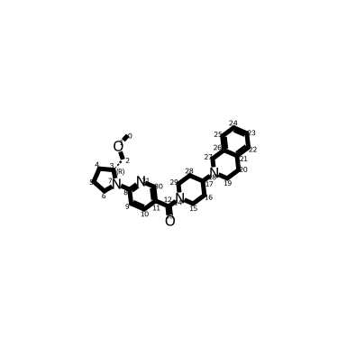 COC[C@H]1CCCN1c1ccc(C(=O)N2CCC(N3CCc4ccccc4C3)CC2)cn1